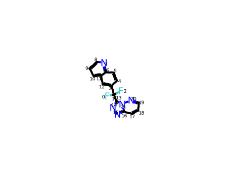 FC(F)(c1ccc2ncccc2c1)c1nnc2cccnn12